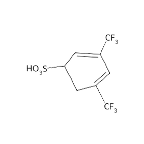 O=S(=O)(O)C1C=C(C(F)(F)F)C=C(C(F)(F)F)C1